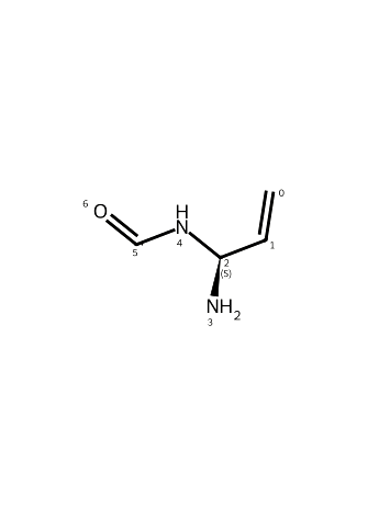 C=C[C@@H](N)N[C]=O